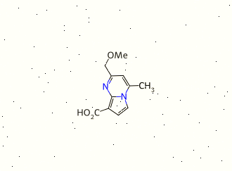 COCc1cc(C)n2ccc(C(=O)O)c2n1